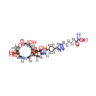 CC[C@H]1OC(=O)[C@H](C)[C@@H](O)[C@H](C)[C@@H](O[C@@H]2O[C@H](C)C[C@H](N(C)Cc3ccc(C4CN(CCCCCC(=O)NO)N=N4)cc3)[C@H]2O)[C@](C)(O)C[C@@H](C)CN(C)[C@H](C)[C@@H](O)[C@]1(C)O